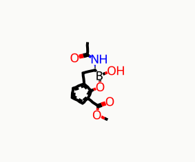 COC(=O)c1cccc2c1OB(O)[C@@H](NC(C)=O)C2